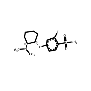 CN(C)[C@H]1CCCC[C@@H]1Oc1ccc(S(N)(=O)=O)c(F)c1